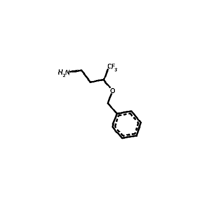 NCCC(OCc1ccccc1)C(F)(F)F